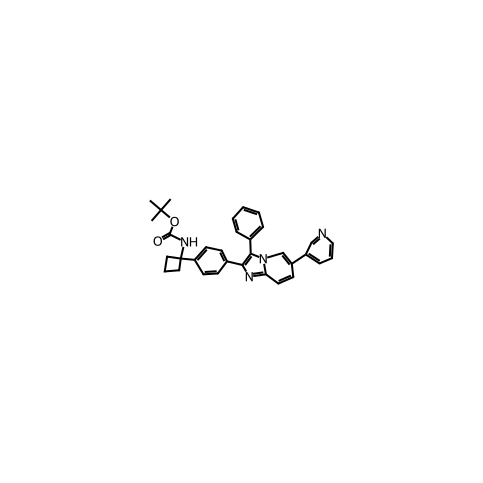 CC(C)(C)OC(=O)NC1(c2ccc(-c3nc4ccc(-c5cccnc5)cn4c3-c3ccccc3)cc2)CCC1